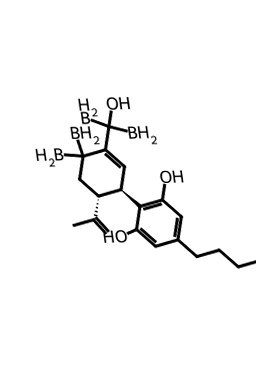 BC(B)(O)C1=C[C@@H](c2c(O)cc(CCCCC)cc2O)[C@H](C(=C)C)CC1(B)B